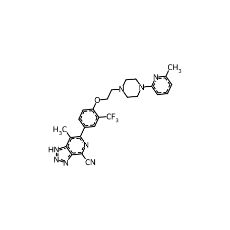 Cc1cccc(N2CCN(CCOc3ccc(-c4nc(C#N)c5nn[nH]c5c4C)cc3C(F)(F)F)CC2)n1